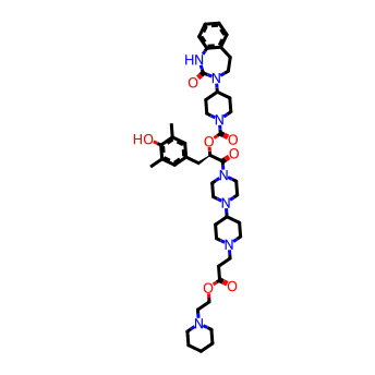 Cc1cc(C[C@@H](OC(=O)N2CCC(N3CCc4ccccc4NC3=O)CC2)C(=O)N2CCN(C3CCN(CCC(=O)OCCN4CCCCC4)CC3)CC2)cc(C)c1O